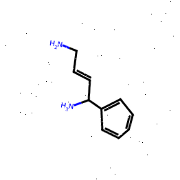 NCC=CC(N)c1ccccc1